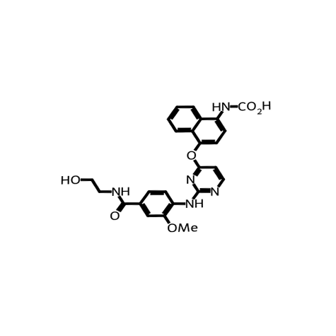 COc1cc(C(=O)NCCO)ccc1Nc1nccc(Oc2ccc(NC(=O)O)c3ccccc23)n1